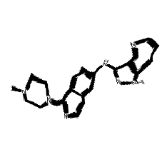 CN1CCN(c2nccc3cc(Nc4n[nH]c5cccnc45)ccc23)CC1